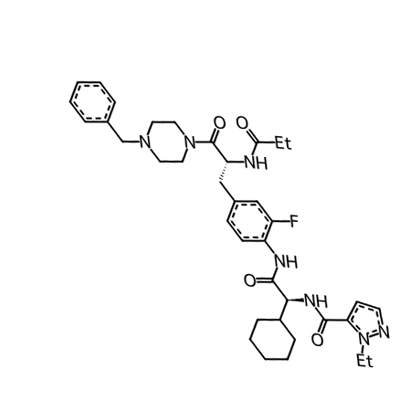 CCC(=O)N[C@H](Cc1ccc(NC(=O)[C@@H](NC(=O)c2ccnn2CC)C2CCCCC2)c(F)c1)C(=O)N1CCN(Cc2ccccc2)CC1